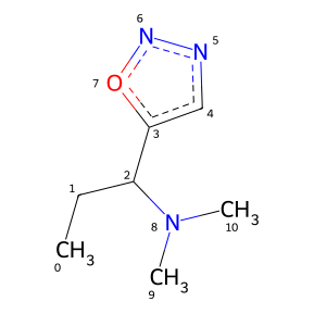 CCC(c1cnno1)N(C)C